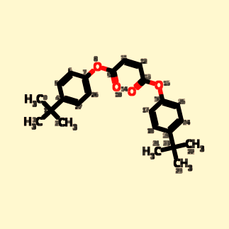 CC(C)(C)c1ccc(OC(=O)/C=C\C(=O)Oc2ccc(C(C)(C)C)cc2)cc1